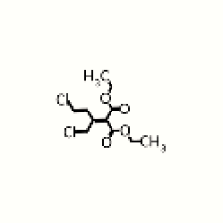 CCOC(=O)C(C(=O)OCC)=C(C=CCl)CCl